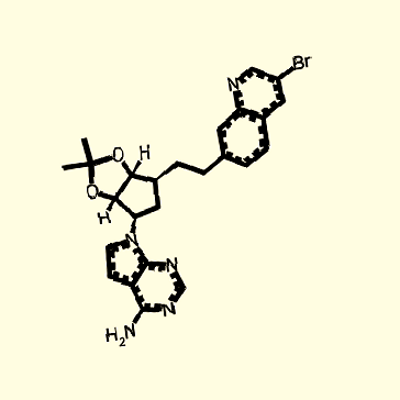 CC1(C)O[C@@H]2[C@@H](CCc3ccc4cc(Br)cnc4c3)C[C@@H](n3ccc4c(N)ncnc43)[C@@H]2O1